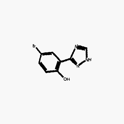 Oc1ccc(Br)cc1-c1nc[nH]n1